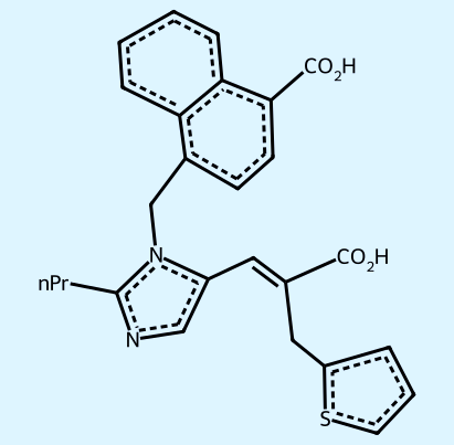 CCCc1ncc(/C=C(\Cc2cccs2)C(=O)O)n1Cc1ccc(C(=O)O)c2ccccc12